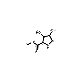 COC(=O)C1NCC(O)C1O